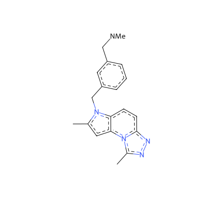 CNCc1cccc(Cn2c(C)cc3c2ccc2nnc(C)n23)c1